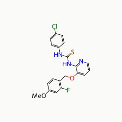 COc1ccc(COc2cccnc2NC(=S)Nc2ccc(Cl)cc2)c(F)c1